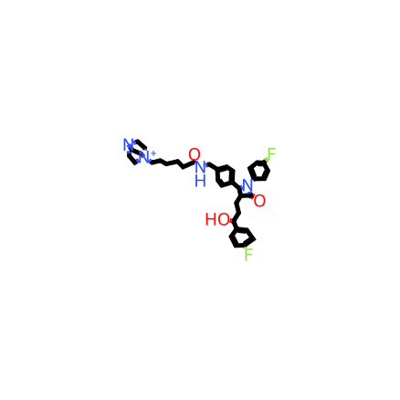 O=C(CCCCC[N+]12CCN(CC1)CC2)NCc1ccc(C2C(CCC(O)c3ccc(F)cc3)C(=O)N2c2ccc(F)cc2)cc1